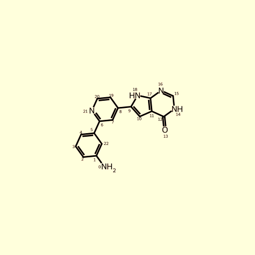 Nc1cccc(-c2cc(-c3cc4c(=O)[nH]cnc4[nH]3)ccn2)c1